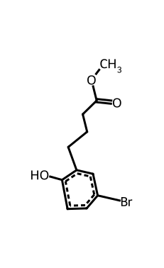 COC(=O)CCCc1cc(Br)ccc1O